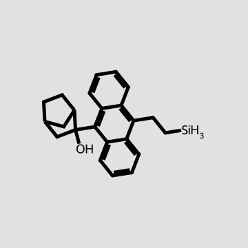 OC1(c2c3ccccc3c(CC[SiH3])c3ccccc23)CC2CCC1C2